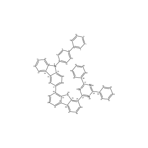 c1ccc(-c2ccc(-n3c4ccccc4c4cc(-c5cccc6c5sc5c(-c7nc(-c8ccccc8)nc(-c8ccccc8)n7)cccc56)ccc43)cc2)cc1